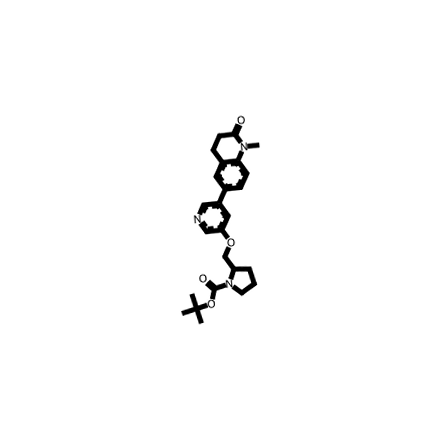 CN1C(=O)CCc2cc(-c3cncc(OCC4CCCN4C(=O)OC(C)(C)C)c3)ccc21